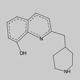 Oc1cccc2ccc(CC3CCNCC3)nc12